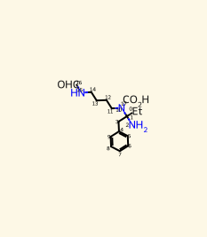 CCC(N)(Cc1ccccc1)N(CCCCNC=O)C(=O)O